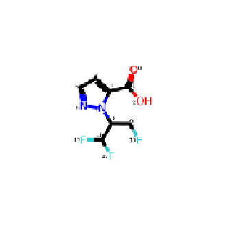 O=C(O)c1ccnn1C(CF)C(F)F